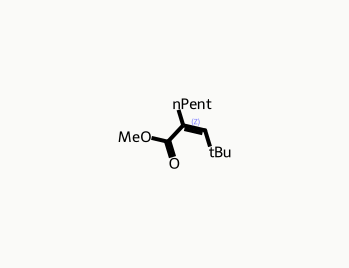 CCCCC/C(=C/C(C)(C)C)C(=O)OC